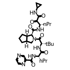 CCC[C@H](NC(=O)c1cnccn1)C(=O)N[C@H](C(=O)N1C[C@@H]2CCC[C@@H]2[C@H]1C(=O)N[C@@H](CCC)C(=O)C(=O)NC1CC1)C(C)(C)C